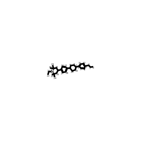 CCCc1ccc(C2CCC(c3ccc(C4CC(C)(C)N(CC)C(C)(C)C4)cc3)CC2)cc1